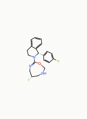 Fc1ccc([C@H]2c3ccccc3CCN2/C2=N/C[C@@H](F)CNCO2)cc1